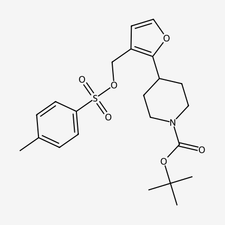 Cc1ccc(S(=O)(=O)OCc2ccoc2C2CCN(C(=O)OC(C)(C)C)CC2)cc1